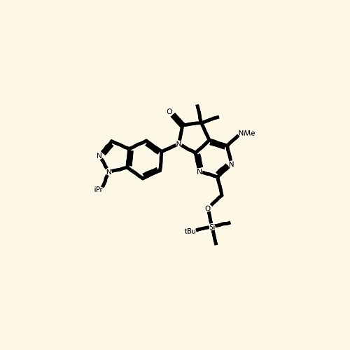 CNc1nc(CO[Si](C)(C)C(C)(C)C)nc2c1C(C)(C)C(=O)N2c1ccc2c(cnn2C(C)C)c1